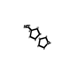 C1CCOC1.OC1CCCC1